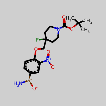 CC(C)(C)OC(=O)N1CCC(F)(COc2ccc([S+](N)[O-])cc2[N+](=O)[O-])CC1